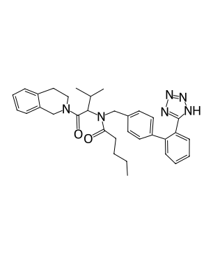 CCCCC(=O)N(Cc1ccc(-c2ccccc2-c2nnn[nH]2)cc1)C(C(=O)N1CCc2ccccc2C1)C(C)C